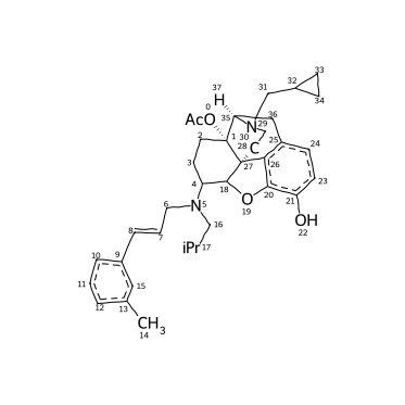 CC(=O)O[C@@]12CCC(N(C/C=C/c3cccc(C)c3)CC(C)C)C3Oc4c(O)ccc5c4[C@@]31CCN(CC1CC1)[C@@H]2C5